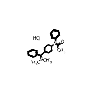 CC(=O)N(c1ccccc1)C1CCC(C(c2ccccc2)N(C)C)CC1.Cl